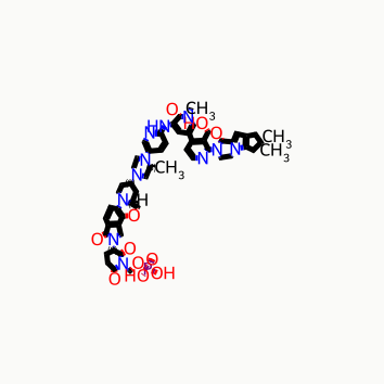 C[C@H]1CN([C@H]2CCN3c4ccc5c(c4OC[C@H]3C2)CN([C@H]2CCC(=O)N(COP(=O)(O)O)C2=O)C5=O)CCN1c1ccc(Nc2cc(-c3ccnc(N4CCn5c(cc6c5CC(C)(C)C6)C4=O)c3CO)cn(C)c2=O)nc1